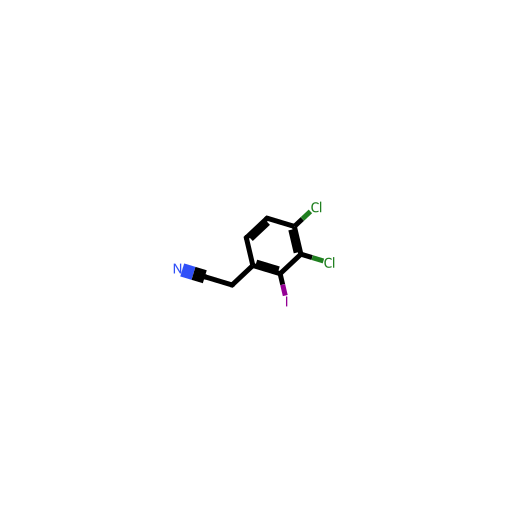 N#CCc1ccc(Cl)c(Cl)c1I